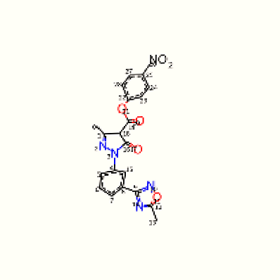 CC1=NN(c2cccc(-c3noc(C)n3)c2)C(=O)C1C(=O)Oc1ccc([N+](=O)[O-])cc1